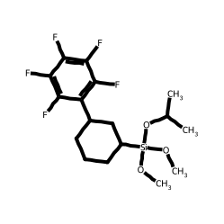 CO[Si](OC)(OC(C)C)C1CCCC(c2c(F)c(F)c(F)c(F)c2F)C1